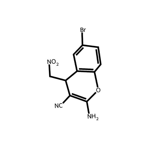 N#CC1=C(N)Oc2ccc(Br)cc2C1C[N+](=O)[O-]